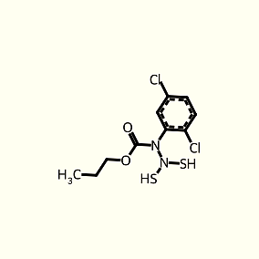 CCCOC(=O)N(c1cc(Cl)ccc1Cl)N(S)S